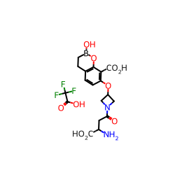 NC(CC(=O)N1CC(Oc2ccc3c(c2C(=O)O)OB(O)CC3)C1)C(=O)O.O=C(O)C(F)(F)F